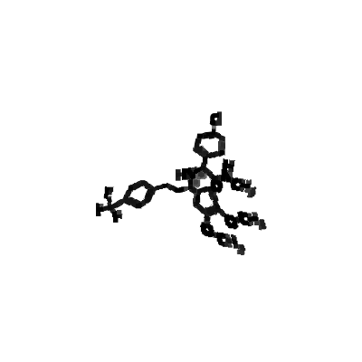 CNC(=O)[C@@H](N[C@H](CCc1ccc(C(F)(F)F)cc1)c1ccc(OC)c(OC)c1)c1ccc(Cl)cc1